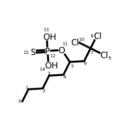 CCCCCC(CC(Cl)(Cl)Cl)OP(O)(O)=S